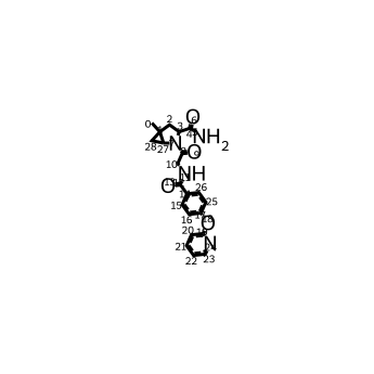 CC12CC(C(N)=O)N(C(=O)CNC(=O)c3ccc(Oc4ccccn4)cc3)C1C2